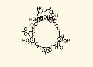 C=C(Cl)/C=C/[C@@H](O)CC(=C)C[C@H]1O[C@@H]2[C@H](C)[C@@H](OC(=O)C[C@H]3C[C@H](OC(C)=O)C[C@@]4(C[C@@](C)(O)C[C@H](CC(=C)[C@@H](C)C(OC(C)=O)[C@H](C)C(=O)C[C@@H]5C[C@H](OC)C[C@@]6(C[C@@H](O)C[C@H](/C=C\CCC[C@H]7O[C@](O)(C[C@H](O)[C@H]7C)[C@H]2O)O6)O5)O4)O3)[C@@H]1O